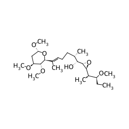 CC[C@H](OC)[C@@H](C)[C@@H]1O[C@H]1[C@H](O)[C@@H](C)CC/C=C(\C)[C@@H]1O[C@@H](OC)C[C@H](OC)[C@H]1OC